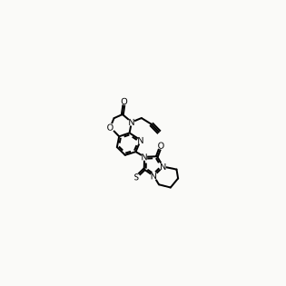 C#CCN1C(=O)COc2ccc(-n3c(=O)n4n(c3=S)CCCC4)nc21